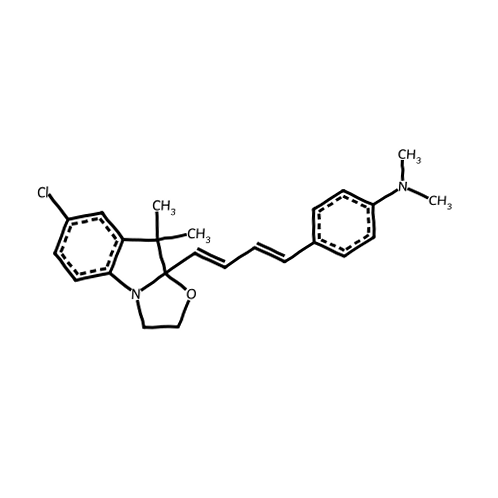 CN(C)c1ccc(C=CC=CC23OCCN2c2ccc(Cl)cc2C3(C)C)cc1